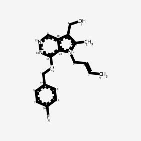 CC=CCn1c(C)c(CO)c2cnnc(OCc3ccc(F)cc3)c21